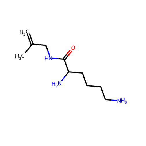 C=C(C)CNC(=O)C(N)CCCCN